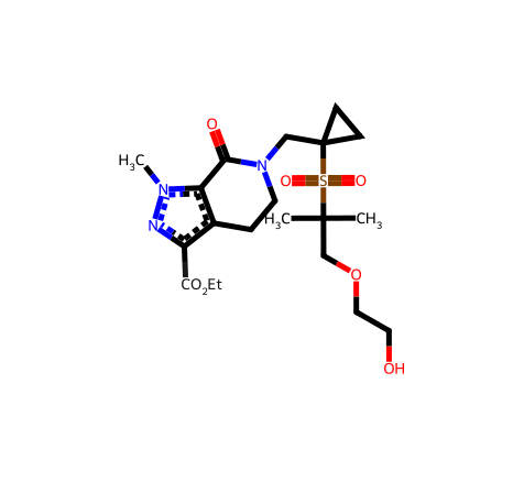 CCOC(=O)c1nn(C)c2c1CCN(CC1(S(=O)(=O)C(C)(C)COCCO)CC1)C2=O